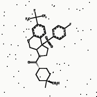 C[C@]1(C(=O)O)CC[C@H](C(=O)N2CCC3(S(=O)(=O)c4ccc(F)cc4)c4ccc(C(F)(C(F)(F)F)C(F)(F)F)cc4OCC23)CC1